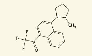 CC1CCCN1c1ccc(C(=O)C(F)(F)F)c2ccccc12